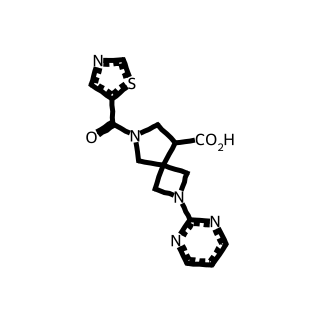 O=C(O)C1CN(C(=O)c2cncs2)CC12CN(c1ncccn1)C2